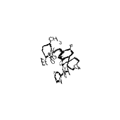 CC[C@@H]1CC[C@@H](C)N(Cc2ccc(C3(C(=O)Nc4cnccn4)CCOCC3)cc2F)S1(=O)=O